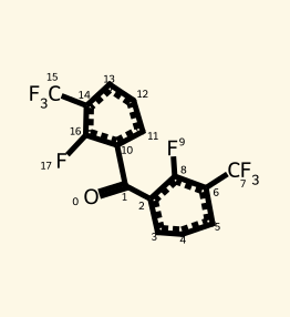 O=C(c1cccc(C(F)(F)F)c1F)c1cccc(C(F)(F)F)c1F